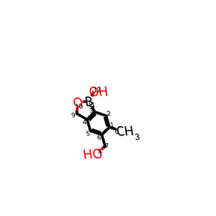 Cc1cc2c(cc1CO)COB2O